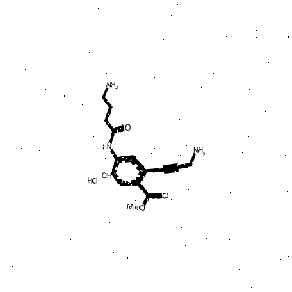 COC(=O)c1ccc(NC(=O)CCCN)cc1C#CCN.Cl.Cl